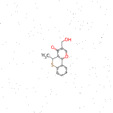 CC1Sc2ccccc2-c2occ(CO)c(=O)c21